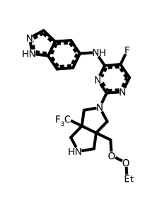 CCOOCC12CNCC1(C(F)(F)F)CN(c1ncc(F)c(Nc3ccc4[nH]ncc4c3)n1)C2